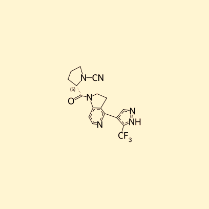 N#CN1CCC[C@H]1C(=O)N1CCc2c1ccnc2-c1cn[nH]c1C(F)(F)F